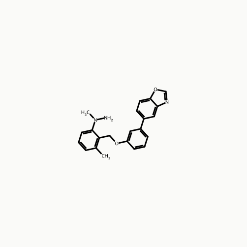 Cc1cccc(N(C)N)c1COc1cccc(-c2ccc3ocnc3c2)c1